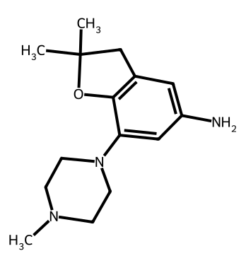 CN1CCN(c2cc(N)cc3c2OC(C)(C)C3)CC1